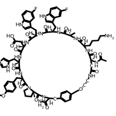 COc1ccc(C[C@@H]2NC(=O)[C@H](Cc3cnc[nH]3)NC(=O)[C@H](CC(=O)O)NC(=O)[C@H](Cc3c[nH]c4ccc(F)cc34)NC(=O)[C@H](Cc3c[nH]c4ccc(F)cc34)NC(=O)[C@@H](C)NC(=O)[C@H](CCCCN)NC(=O)[C@@H](NC(C)=O)CC(=O)NCCOc3ccc(cc3)C[C@@H](C(N)=O)NC(=O)[C@]3(C)CCCN3C2=O)cc1